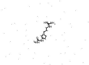 CNC(=O)N[C@H]1CCN(CCCNC(=N)N)C1